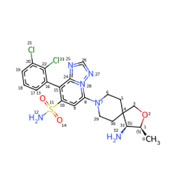 C[C@@H]1OCC2(CCN(c3cc(S(N)(=O)=O)c(-c4cccc(Cl)c4Cl)c4ncnn34)CC2)[C@@H]1N